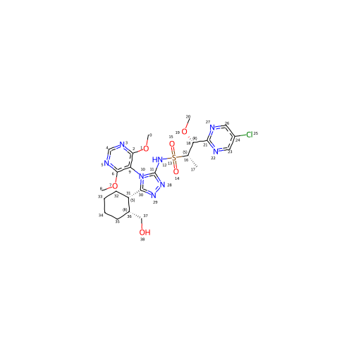 COc1ncnc(OC)c1-n1c(NS(=O)(=O)[C@@H](C)[C@H](OC)c2ncc(Cl)cn2)nnc1[C@H]1CCCC[C@H]1CO